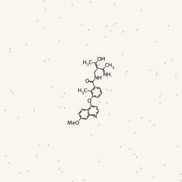 COc1ccc2c(Oc3cccc(C(=O)NC/C(C(C)=N)=C(\C)O)c3C)ccnc2c1